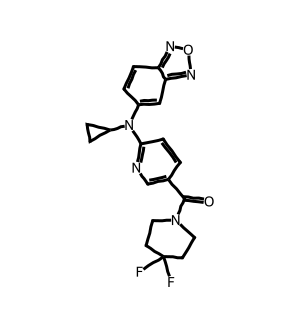 O=C(c1ccc(N(c2ccc3nonc3c2)C2CC2)nc1)N1CCC(F)(F)CC1